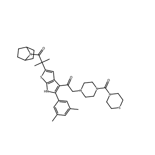 Cc1cc(C)cc(-c2[nH]c3sc(C(C)(C)C(=O)N4C5CCC4CC5)cc3c2C(=O)CN2CCN(C(=O)N3CCSCC3)CC2)c1